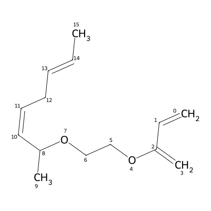 C=CC(=C)OCCOC(C)/C=C\CC=CC